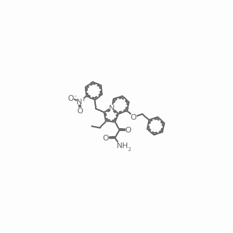 CCc1c(C(=O)C(N)=O)c2c(OCc3ccccc3)cccn2c1Cc1ccccc1[N+](=O)[O-]